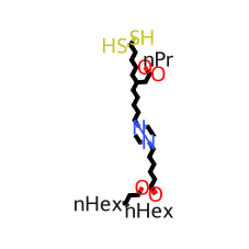 CCCCCCC(CCCCCC)CCOC(=O)CCCCCN1CCN(CCCCCC(CCCCC(S)S)CC(=O)OCCC)CC1